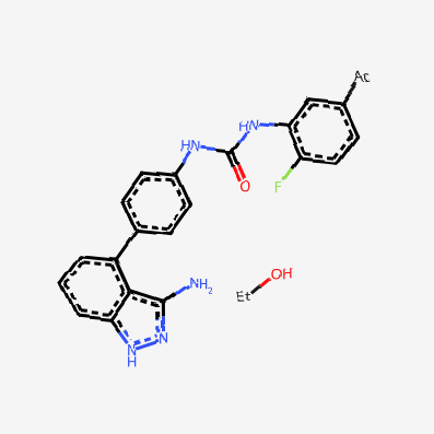 CC(=O)c1ccc(F)c(NC(=O)Nc2ccc(-c3cccc4[nH]nc(N)c34)cc2)c1.CCO